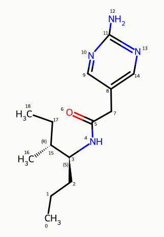 CCC[C@H](NC(=O)Cc1cnc(N)nc1)[C@H](C)CC